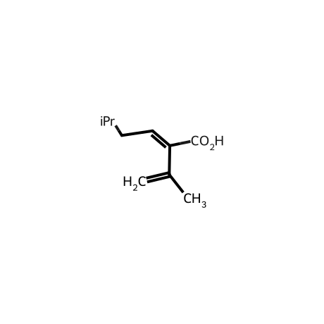 C=C(C)/C(=C\CC(C)C)C(=O)O